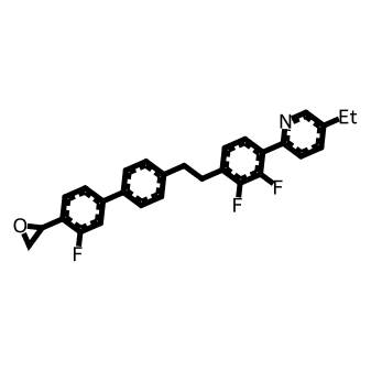 CCc1ccc(-c2ccc(CCc3ccc(-c4ccc(C5CO5)c(F)c4)cc3)c(F)c2F)nc1